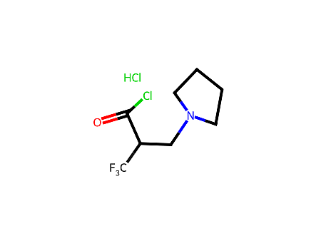 Cl.O=C(Cl)C(CN1CCCC1)C(F)(F)F